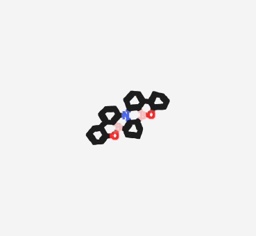 c1ccc2c(c1)OB1c3cccc4c3N(c3cccc-2c31)c1cccc2c1B4Oc1ccccc1-2